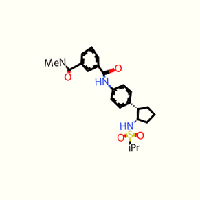 CNC(=O)c1cccc(C(=O)Nc2ccc([C@@H]3CCC[C@@H]3NS(=O)(=O)C(C)C)cc2)c1